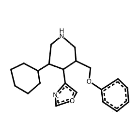 c1ccc(OCC2CNCC(C3CCCCC3)C2c2cocn2)cc1